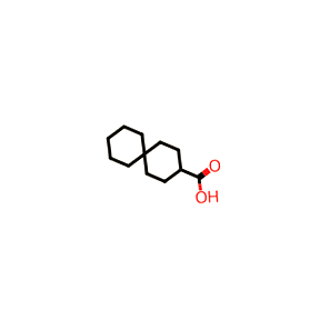 O=C(O)C1CCC2(CCCCC2)CC1